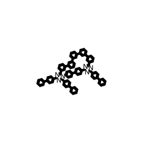 c1ccc(-c2ccc(-c3nc(-c4ccc(-c5ccccc5)cc4)nc(-c4cccc(-c5cccc(-c6cccc(-c7cccc(-c8cccc(-c9nc(-c%10ccc(-c%11ccccc%11)cc%10)nc(-c%10ccc(-c%11ccccc%11)cc%10)n9)c8)c7)c6)c5)c4)n3)cc2)cc1